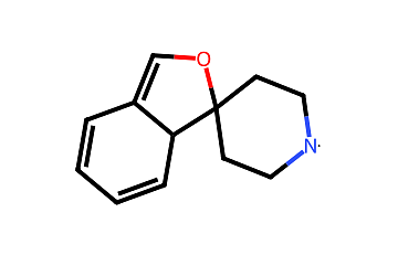 C1=CC2=COC3(CC[N]CC3)C2C=C1